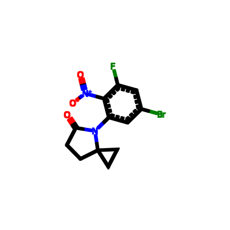 O=C1CCC2(CC2)N1c1cc(Br)cc(F)c1[N+](=O)[O-]